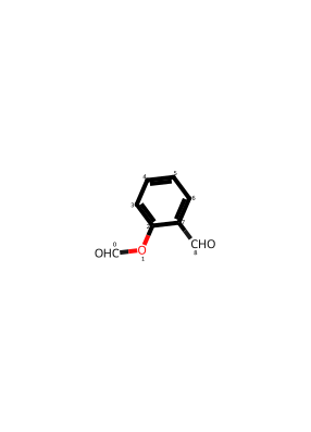 O=COc1ccccc1C=O